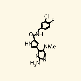 CNc1cnc(N)nc1-c1c[nH]c(C(=O)NCc2ccc(F)c(Cl)c2)c1